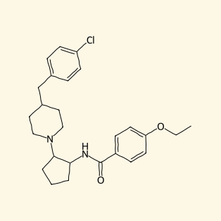 CCOc1ccc(C(=O)NC2CCCC2N2CCC(Cc3ccc(Cl)cc3)CC2)cc1